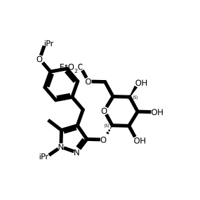 CCOC(=O)OCC1O[C@@H](Oc2nn(C(C)C)c(C)c2Cc2ccc(OC(C)C)cc2)C(O)C(O)[C@@H]1O